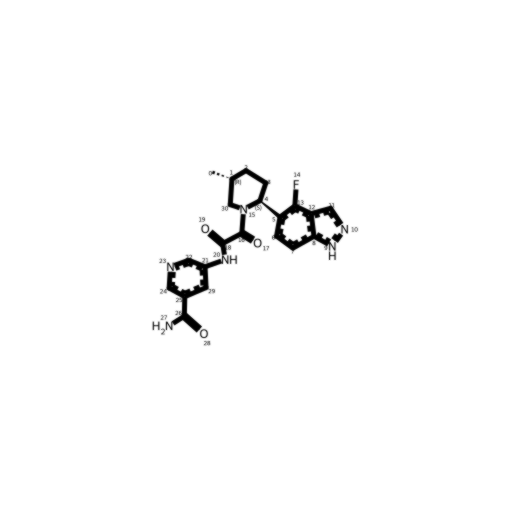 C[C@@H]1CC[C@@H](c2ccc3[nH]ncc3c2F)N(C(=O)C(=O)Nc2cncc(C(N)=O)c2)C1